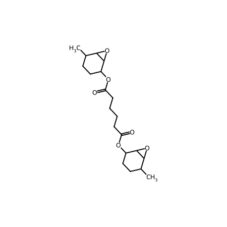 CC1CCC(OC(=O)CCCCC(=O)OC2CCC(C)C3OC23)C2OC12